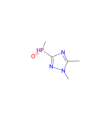 Cc1nc([PH](C)=O)nn1C